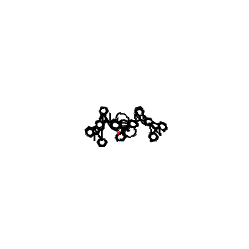 O=P1(c2ccccc2)c2ccc(-n3c4ccccc4c4cc5c6ccccc6n(-c6ccccc6)c5cc43)cc2Oc2cc(-n3c4ccccc4c4cc5c6ccccc6n(-c6ccccc6)c5cc43)ccc21